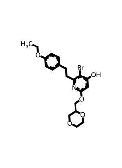 CCOc1ccc(CCc2nc(OCC3COCCO3)cc(O)c2Br)cc1